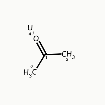 CC(C)=O.[U]